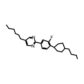 CCCCCCc1cnc(-c2ccc(C3CCC(CCCC)CC3)c(F)c2)nc1